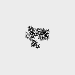 CC1(C)c2ccccc2-c2c1c1c(c3c4ccc(CC5(C)c6ccccc6-c6c5c5c(c7c8ccccc8n(-c8ccccc8)c67)C(C)(C)c6ccccc6-5)cc4n(-c4cccc(-c5ccc6c7c(cccc57)-c5ccccc5-6)c4)c23)C(C)(C)c2ccccc2-1